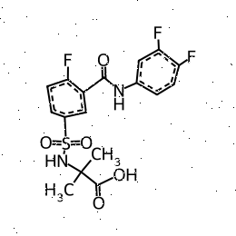 CC(C)(NS(=O)(=O)c1ccc(F)c(C(=O)Nc2ccc(F)c(F)c2)c1)C(=O)O